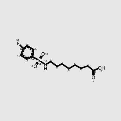 O=C(O)CCCCCCCNS(=O)(=O)c1ccc(F)cc1